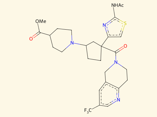 COC(=O)C1CCN(C2CCC(C(=O)N3CCc4ncc(C(F)(F)F)cc4C3)(c3csc(NC(C)=O)n3)C2)CC1